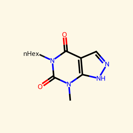 CCCCCCn1c(=O)c2cn[nH]c2n(C)c1=O